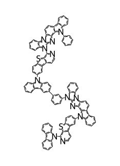 c1ccc(-n2c3ccccc3c3ccc4c(nc5n(-c6nccc7c6sc6ccc(-n8c9ccccc9c9cc(-c%10cccc(-n%11c%12ccccc%12n%12c%13ccc%14c%15ccccc%15n(-c%15ccc%16sc%17c(-n%18c%19ccccc%19c%19ccccc%19%18)nccc%17c%16c%15)c%14c%13nc%11%12)c%10)ccc98)cc67)c6ccccc6n45)c32)cc1